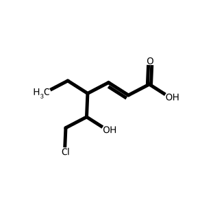 CCC(/C=C/C(=O)O)C(O)CCl